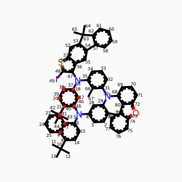 Cc1ccc(N(c2ccc(C(C)(C)C)cc2)c2ccccc2-c2ccccc2)cc1N(c1cccc(N(c2ccc(C(C)(C)C)cc2)c2c(I)sc3cc4c(cc23)-c2ccccc2C4(C)C)c1C)c1cccc2oc3ccccc3c12